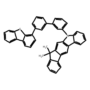 CC1(C)c2ccccc2-c2cc3c4ccccc4n(-c4cccc(-c5cccc(-c6cccc7c6sc6ccccc67)c5)c4)c3cc21